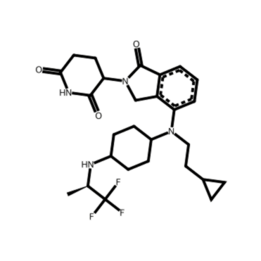 C[C@@H](NC1CCC(N(CCC2CC2)c2cccc3c2CN(C2CCC(=O)NC2=O)C3=O)CC1)C(F)(F)F